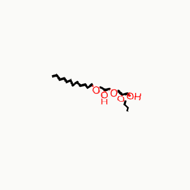 CCCCCCCCCCCCOCC(O)COCC(CO)OCCCC